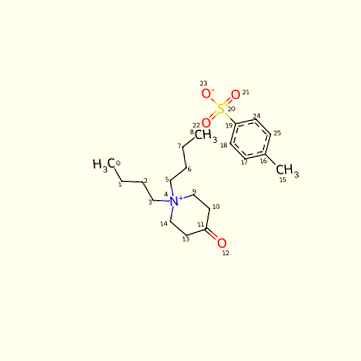 CCCC[N+]1(CCCC)CCC(=O)CC1.Cc1ccc(S(=O)(=O)[O-])cc1